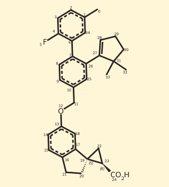 Cc1ccc(F)c(-c2ccc(COc3ccc4c(c3)[C@@]3(CC4)C[C@H]3C(=O)O)cc2C2=CCCC2(C)C)c1